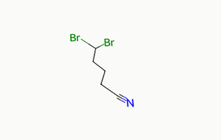 N#CCCCC(Br)Br